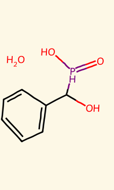 O.O=[PH](O)C(O)c1ccccc1